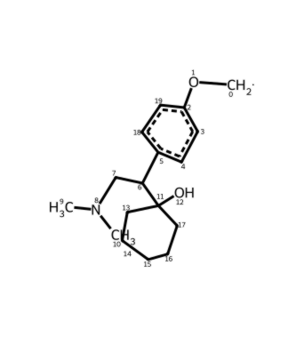 [CH2]Oc1ccc(C(CN(C)C)C2(O)CCCCC2)cc1